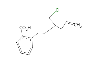 C=CCC(CCl)CCc1ccccc1C(=O)O